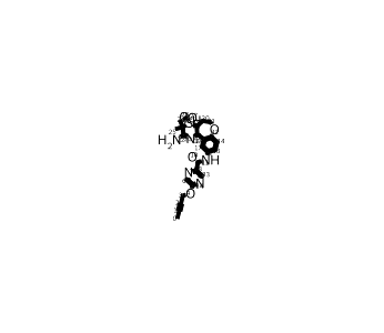 CC#CCOc1cnc(C(=O)Nc2ccc3c(c2)[C@@]2(C)N=C(N)C(C)(C)S(=O)(=O)[C@@H]2CCO3)cn1